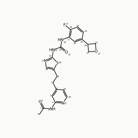 CC(=O)Nc1cc(CCc2cnc(NC(=O)Nc3cc(C4COC4)ccc3F)s2)ccn1